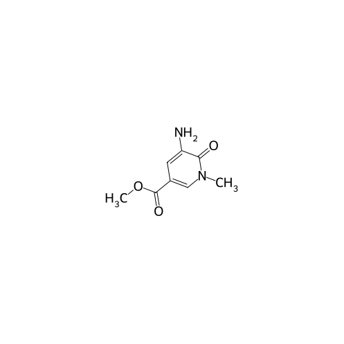 COC(=O)c1cc(N)c(=O)n(C)c1